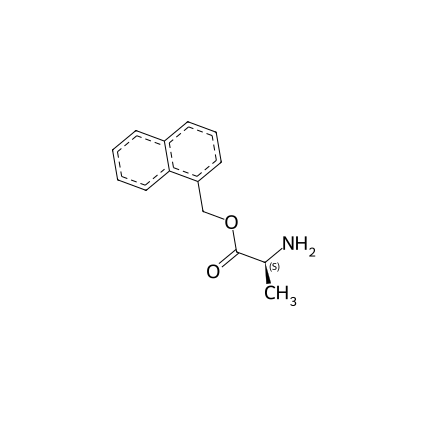 C[C@H](N)C(=O)OCc1cccc2ccccc12